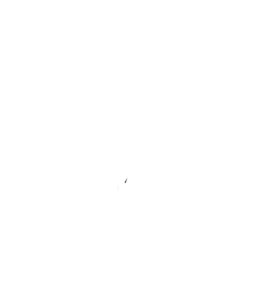 CCO[C@@H](O)CC(C)C